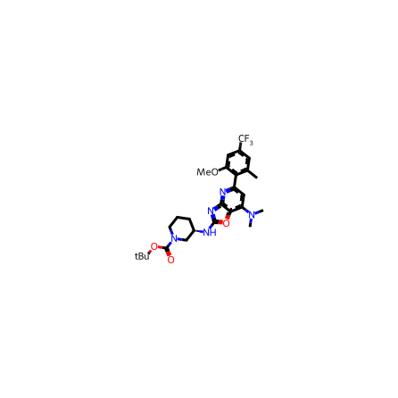 COc1cc(C(F)(F)F)cc(C)c1-c1cc(N(C)C)c2oc(N[C@@H]3CCCN(C(=O)OC(C)(C)C)C3)nc2n1